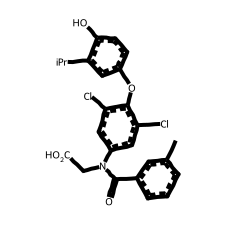 Cc1cccc(C(=O)N(CC(=O)O)c2cc(Cl)c(Oc3ccc(O)c(C(C)C)c3)c(Cl)c2)c1